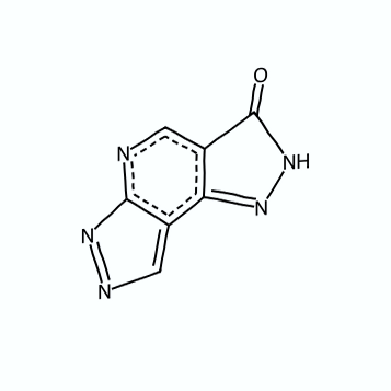 O=C1NN=c2c1cnc1c2=CN=N1